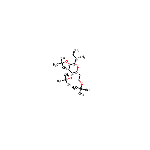 C=C[C@H](C)[C@@H]1O[C@H](CCO[Si](C)(C)C(C)(C)C)[C@H](O[Si](C)(C)C(C)(C)C)C[C@@H]1O[Si](C)(C)C(C)(C)C